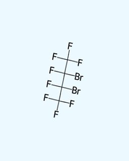 FC(F)(F)C(F)(Br)C(F)(Br)C(F)(F)F